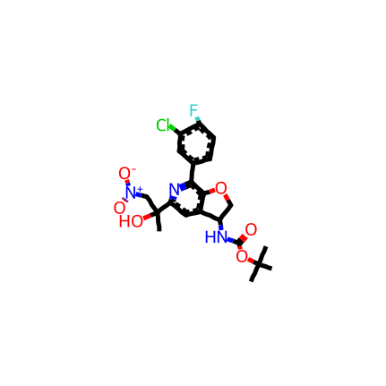 CC(C)(C)OC(=O)NC1COc2c1cc(C(C)(O)C[N+](=O)[O-])nc2-c1ccc(F)c(Cl)c1